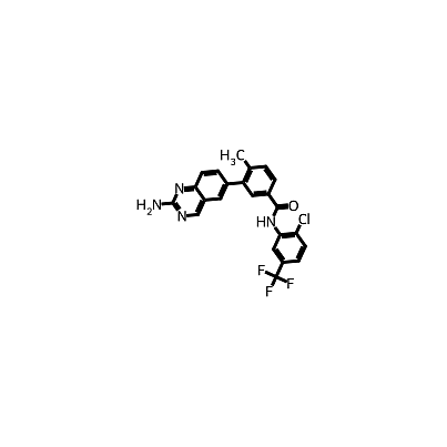 Cc1ccc(C(=O)Nc2cc(C(F)(F)F)ccc2Cl)cc1-c1ccc2nc(N)ncc2c1